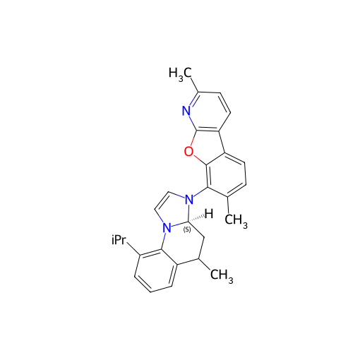 Cc1ccc2c(n1)oc1c(N3C=CN4c5c(C(C)C)cccc5C(C)C[C@@H]43)c(C)ccc12